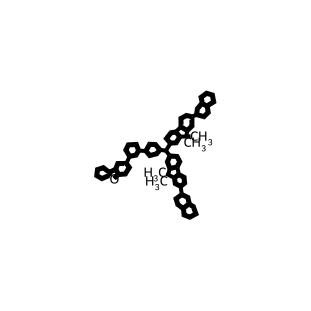 CC1(C)c2cc(-c3ccc4ccccc4c3)ccc2-c2ccc(C(c3ccc(-c4cccc(-c5ccc6oc7ccccc7c6c5)c4)cc3)c3ccc4c(c3)C(C)(C)c3cc(-c5ccc6ccccc6c5)ccc3-4)cc21